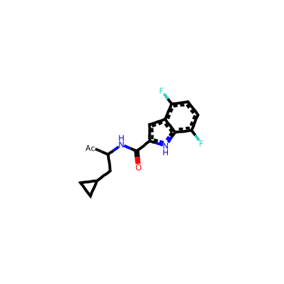 CC(=O)C(CC1CC1)NC(=O)c1cc2c(F)ccc(F)c2[nH]1